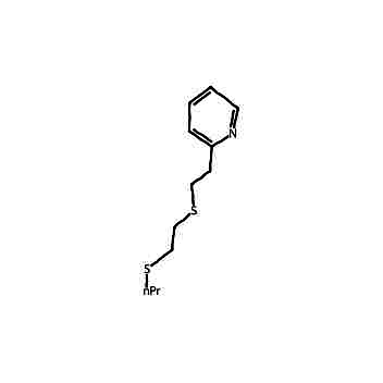 CCCSCCSCCc1ccccn1